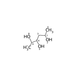 CC(O)C[C](O)C(C)O